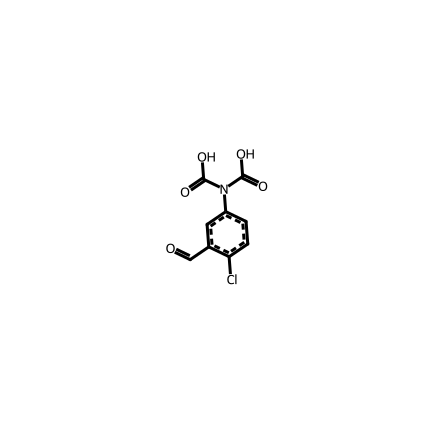 O=Cc1cc(N(C(=O)O)C(=O)O)ccc1Cl